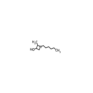 CCCCCCN1CC(O)C1C